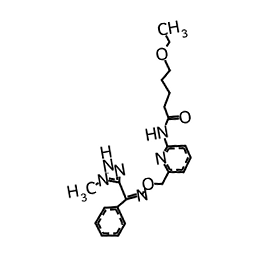 CCOCCCCC(=O)Nc1cccc(CO/N=C(/c2ccccc2)c2n[nH]n2C)n1